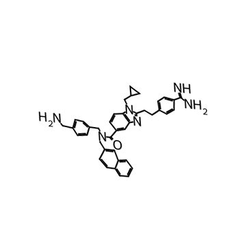 N=C(N)c1ccc(CCc2nc3cc(C(=O)N(Cc4ccc(CN)cc4)Cc4ccc5ccccc5c4)ccc3n2CC2CC2)cc1